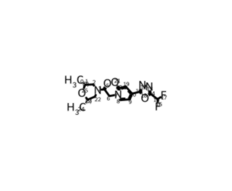 C[C@@H]1CN(C(=O)Cn2ccc(-c3nnc(C(F)F)o3)cc2=O)C[C@H](C)O1